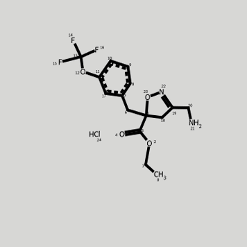 CCOC(=O)C1(Cc2cccc(OC(F)(F)F)c2)CC(CN)=NO1.Cl